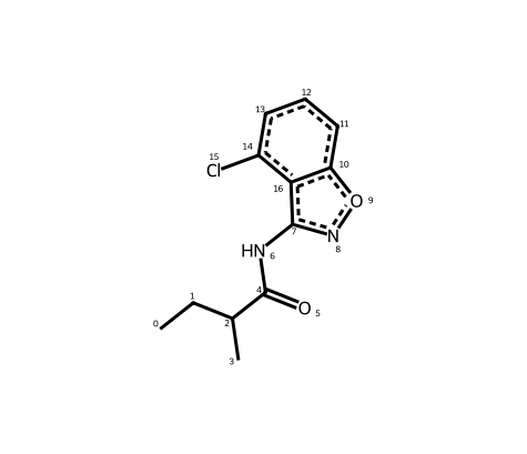 CCC(C)C(=O)Nc1noc2cccc(Cl)c12